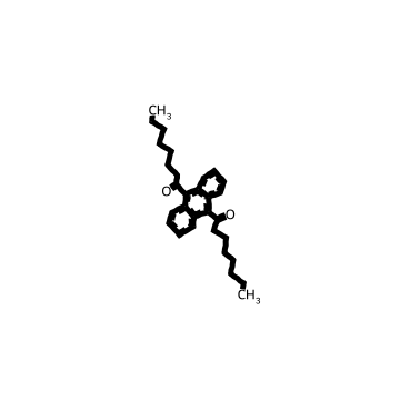 CCCCCCCC(=O)c1c2ccccc2c(C(=O)CCCCCCC)c2ccccc12